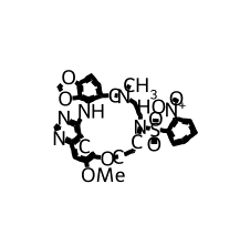 COc1cc2ncnc3c2cc1OCCCN(S(=O)(=O)c1ccccc1[N+](=O)O)CCN(C)Cc1ccc2c(c1N3)OCO2